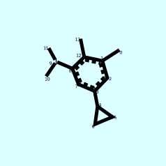 Cc1cc(C2CC2)cc(I(C)C)c1C